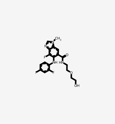 Cn1cnc2c(F)c(Nc3ccc(I)cc3F)c(C(=O)NCCOCCO)cc21